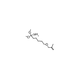 C=C(C)COCCCCCC([SiH3])(OC)OC